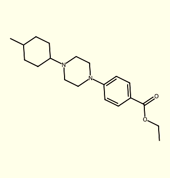 CCOC(=O)c1ccc(N2CCN(C3CCC(C)CC3)CC2)cc1